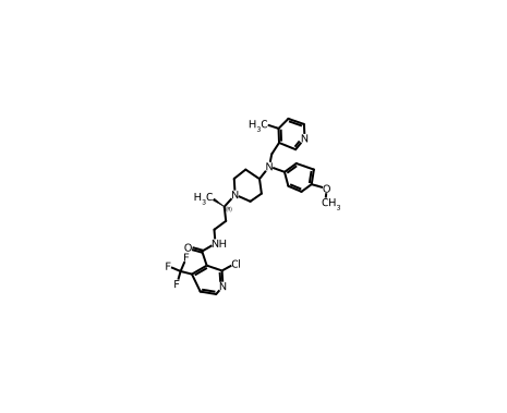 COc1ccc(N(Cc2cnccc2C)C2CCN([C@H](C)CCNC(=O)c3c(C(F)(F)F)ccnc3Cl)CC2)cc1